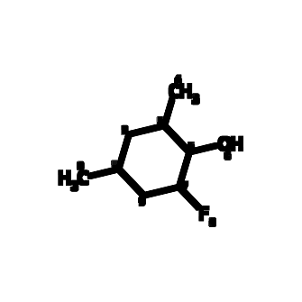 CC1CC(C)C(O)C(F)C1